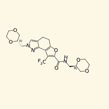 O=C(NC[C@@H]1COCCO1)c1oc2c(c1C(F)(F)F)-c1nn(C[C@H]3COCCO3)cc1CC2